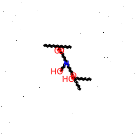 CCCCCCCCC(CCCCCC)C(=O)OCCCCCCN(CCCCO)CCCCCCOC(O)C(CCCCCC)CCCCCCCC